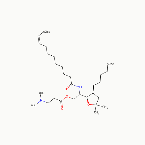 CCCCCCCC/C=C\CCCCCCCC(=O)N[C@@H](COC(=O)CCN(CCCC)CCCC)[C@@H]1OC(C)(C)C[C@@H]1CCCCCCCCCCCCCC